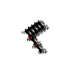 N=C(N)NCCCC(N)C(=O)O.N=C(N)NCCCC(N)C(=O)O.N=C(N)NCCCC(N)C(=O)O.N=C(N)NCCCC(N)C(=O)O.N=C(N)NCCCC(N)C(=O)O.N=C(N)NCCCC(N)C(=O)O.N=C(N)NCCCC(N)C(=O)O